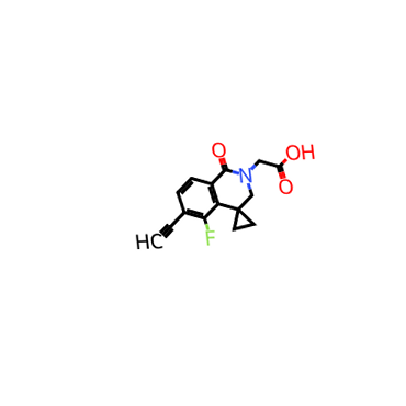 C#Cc1ccc2c(c1F)C1(CC1)CN(CC(=O)O)C2=O